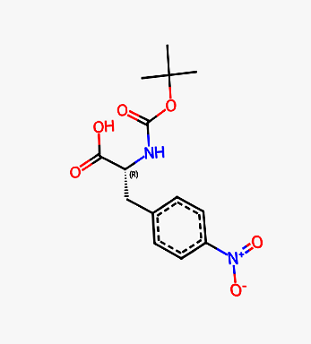 CC(C)(C)OC(=O)N[C@H](Cc1ccc([N+](=O)[O-])cc1)C(=O)O